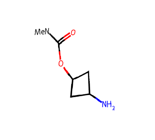 CNC(=O)OC1CC(N)C1